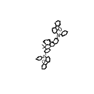 CC1(C)c2cc(N(c3ccccc3)c3cccc4c3oc3ccccc34)ccc2-c2cc3ccc(N(c4ccccc4)c4cccc5c4oc4ccccc45)cc3c3cccc1c23